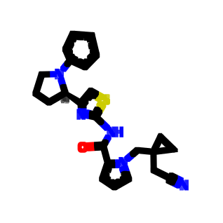 N#CCC1(Cn2cccc2C(=O)Nc2nc([C@H]3CCCN3c3ccccc3)cs2)CC1